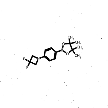 CC1(C)OB(c2ccc(N3CC(F)(F)C3)cc2)OC1(C)C